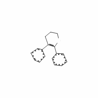 c1ccc(C2=C(c3ccccc3)OCCC2)cc1